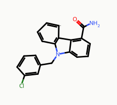 NC(=O)c1cccc2c1c1[c]cccc1n2Cc1cccc(Cl)c1